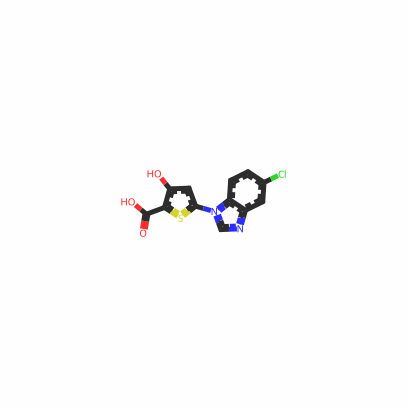 O=C(O)c1sc(-n2cnc3cc(Cl)ccc32)cc1O